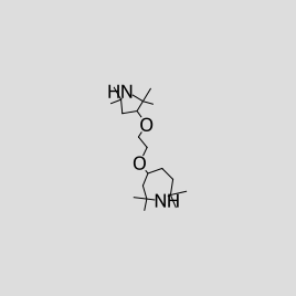 CC1(C)CCC(OCCOC2CC(C)(C)NC2(C)C)CC(C)(C)N1